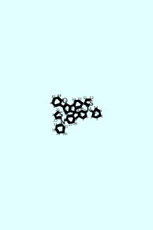 c1ccc(N(c2ccc3c(c2)C2(c4cc(N(c5ccccc5)c5cccs5)ccc4-3)c3ccccc3-c3c2ccc2c3oc3ccccc32)c2cccs2)cc1